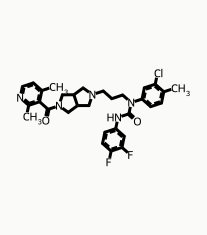 Cc1ccc(N(CCCN2CC3CN(C(=O)c4c(C)ccnc4C)CC3C2)C(=O)Nc2ccc(F)c(F)c2)cc1Cl